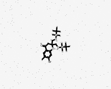 Cc1cc2c(cc1Br)OC(CO[Si](C)(C)C(C)(C)C)(CO[Si](C)(C)C(C)(C)C)CC2=O